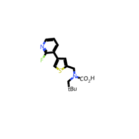 CC(C)(C)CN(Cc1cc(-c2cccnc2F)cs1)C(=O)O